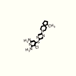 C[C@@H]1CCCC12CCN(c1cnc(Sc3cc(N)nc(N)c3Cl)cn1)CC2